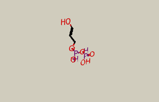 O=[PH](O)O[PH](=O)OCC=CO